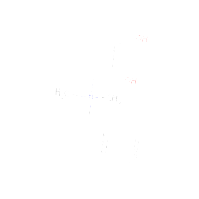 C[N+](C)(Cc1ccccc1)CC(O)CO